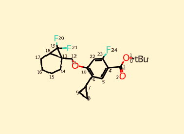 CC(C)(C)OC(=O)c1cc(C2CC2)c(OCC23CCCCC2C3(F)F)cc1F